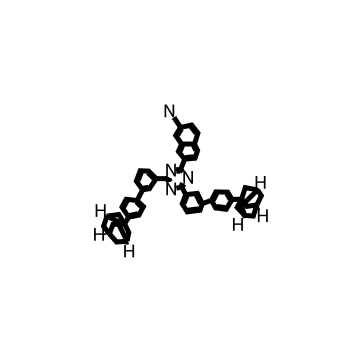 N#Cc1ccc2ccc(-c3nc(-c4cccc(-c5ccc(C67C[C@H]8C[C@@H](C6)C[C@@H](C7)C8)cc5)c4)nc(-c4cccc(-c5ccc(C67C[C@H]8C[C@H](C6)C[C@@H](C7)C8)cc5)c4)n3)cc2c1